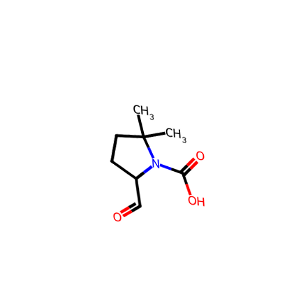 CC1(C)CCC(C=O)N1C(=O)O